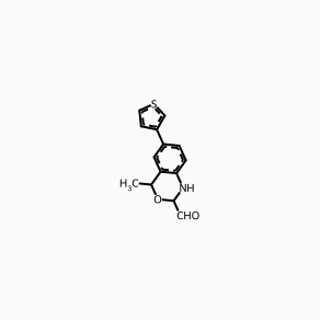 CC1OC(C=O)Nc2ccc(-c3ccsc3)cc21